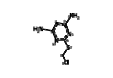 Nc1cc(N)nc(SCCl)n1